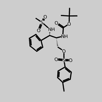 Cc1ccc(S(=O)(=O)OC[C@@H](NC(=O)OC(C)(C)C)[C@@H](NS(C)(=O)=O)c2ccccc2)cc1